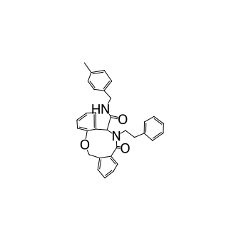 Cc1ccc(CNC(=O)C2c3ccccc3OCc3ccccc3C(=O)N2CCc2ccccc2)cc1